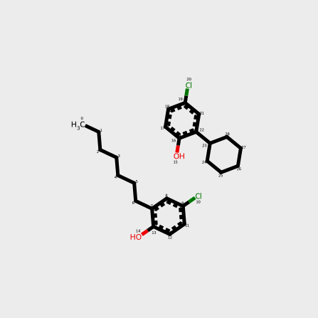 CCCCCCCc1cc(Cl)ccc1O.Oc1ccc(Cl)cc1C1CCCCC1